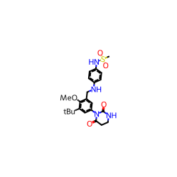 COc1c(CNc2ccc(NS(C)(=O)=O)cc2)cc(N2C(=O)CCNC2=O)cc1C(C)(C)C